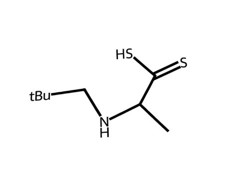 CC(NCC(C)(C)C)C(=S)S